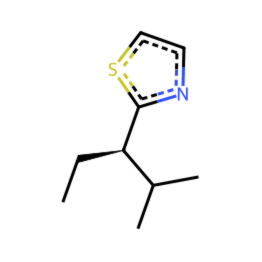 CC[C@@H](c1nccs1)C(C)C